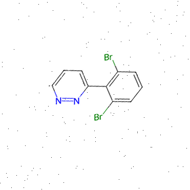 Brc1cccc(Br)c1-c1cc[c]nn1